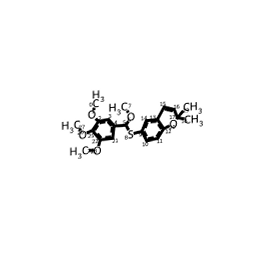 COc1cc(C(OC)Sc2ccc3c(c2)C=CC(C)(C)O3)cc(OC)c1OC